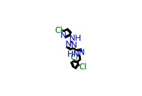 Clc1ccc(Nc2nccc(-c3cnc(Cc4c(Cl)cccc4Cl)[nH]3)n2)cn1